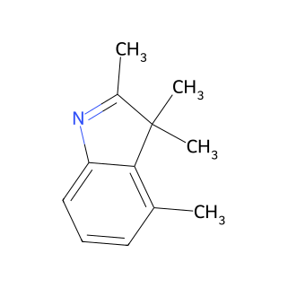 CC1=Nc2cccc(C)c2C1(C)C